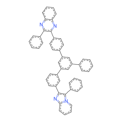 c1ccc(-c2cc(-c3ccc(-c4nc5ccccc5nc4-c4ccccc4)cc3)cc(-c3cccc(-c4nc5ccccn5c4-c4ccccc4)c3)c2)cc1